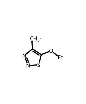 [CH2]c1nnsc1OCC